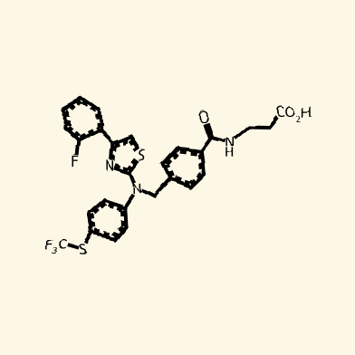 O=C(O)CCNC(=O)c1ccc(CN(c2ccc(SC(F)(F)F)cc2)c2nc(-c3ccccc3F)cs2)cc1